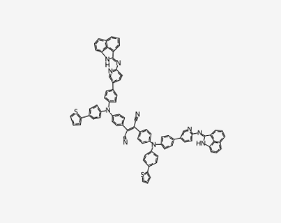 N#C/C(=C(/C#N)c1ccc(N(c2ccc(-c3ccc(/N=C4\Nc5cccc6cccc4c56)nc3)cc2)c2ccc(-c3cccs3)cc2)cc1)c1ccc(N(c2ccc(-c3ccc(/N=C4\Nc5cccc6cccc4c56)nc3)cc2)c2ccc(-c3cccs3)cc2)cc1